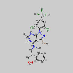 CSc1nn(-c2c(Cl)cc(C(F)(F)F)cc2Cl)c2nc(C)nc(N(CCCO)Cc3ccccc3)c12